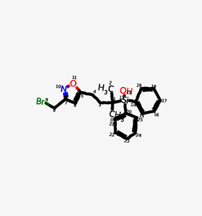 CC(C)(CCc1cc(CBr)no1)[Si](O)(c1ccccc1)c1ccccc1